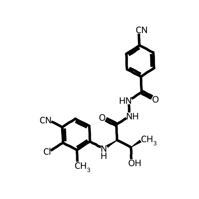 [C-]#[N+]c1ccc(N[C@@H](C(=O)NNC(=O)c2ccc(C#N)cc2)[C@@H](C)O)c(C)c1Cl